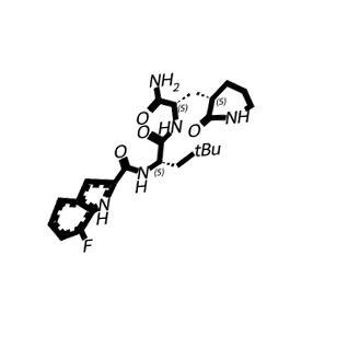 CC(C)(C)C[C@H](NC(=O)c1cc2cccc(F)c2[nH]1)C(=O)N[C@@H](C[C@@H]1CCCNC1=O)C(N)=O